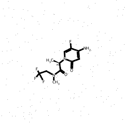 C[C@H](C(=O)N(C)CC(F)(F)F)n1cc(F)c(N)cc1=O